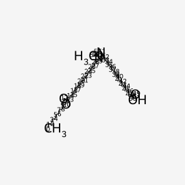 CCCCCCCCCCOC(=O)CCCCCCCC=CCCCCCCCCN1C(CCCCCCCC=CCCCCCCCC(=O)O)=NCC1C